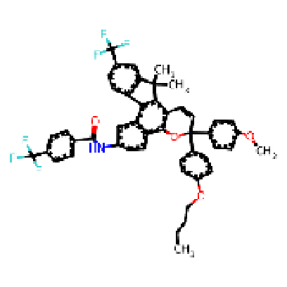 CCCCOc1ccc(C2(c3ccc(OC)cc3)C=Cc3c4c(c5cc(NC(=O)c6ccc(C(F)(F)F)cc6)ccc5c3O2)-c2ccc(C(F)(F)F)cc2C4(C)C)cc1